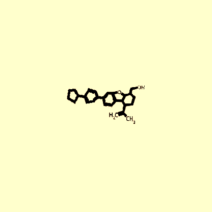 C=C(C)C1CCC(CO)C2Oc3cc(-c4ccc(C5CCCC5)cc4)ccc3C12